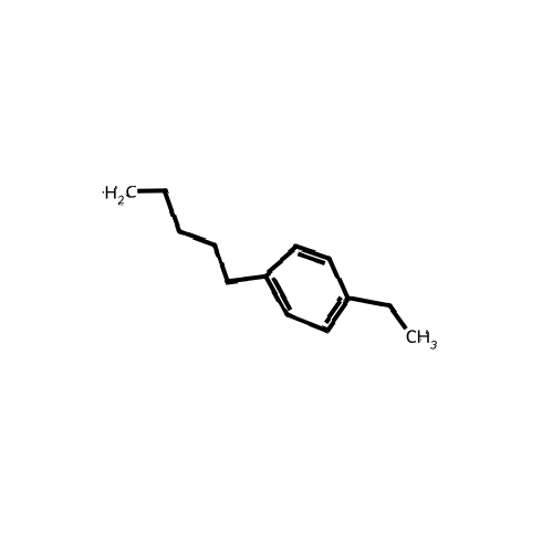 [CH2]CCCCc1ccc(CC)cc1